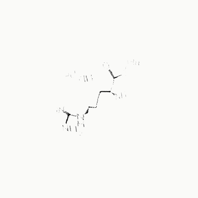 CC(C)(C)OC(=O)[C@@H](N)CCCNC(=N)N.Cl.Cl